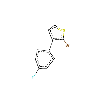 Fc1ccc(-c2ccsc2Br)cc1